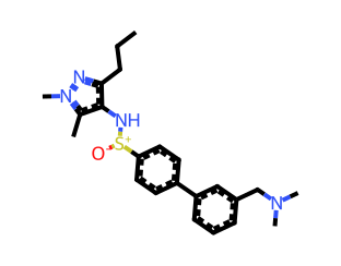 CCCc1nn(C)c(C)c1N[S+]([O-])c1ccc(-c2cccc(CN(C)C)c2)cc1